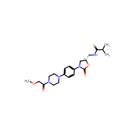 COCC(=O)N1CCN(c2ccc(N3C[C@H](CNC(=S)C(C)C)OC3=O)cc2)CC1